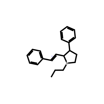 CCCN1CCC(c2ccccc2)C1/C=C/c1ccccc1